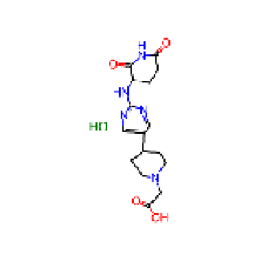 Cl.O=C(O)CN1CCC(c2cnc(NC3CCC(=O)NC3=O)nc2)CC1